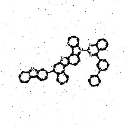 c1ccc(-c2cccc(-c3nc(-n4c5ccccc5c5c6oc7cc(-c8ccc9c(c8)oc8ccccc89)c8ccccc8c7c6ccc54)nc4ccccc34)c2)cc1